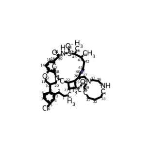 CCCc1cc(Cl)ccc1C1COc2ccc3cc2N(C1)CC1CCC1C(CN1CCCCCCNCC1)(OC)/C=C/CC(C)C(C)[S+]([O-])NC3=O